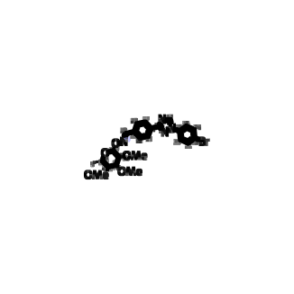 CO[C@@H]1[C@@H](OC)[C@H](C)O[C@@H](O/N=C/c2ccc(-c3ncn(-c4ccc(Br)cc4)n3)cc2)[C@@H]1OC